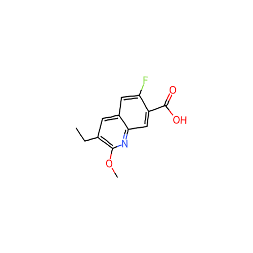 CCc1cc2cc(F)c(C(=O)O)cc2nc1OC